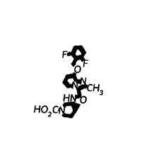 Cc1nc2c(OCc3c(F)cccc3F)cccn2c1C(=O)NC12CC1CCN(C(=O)O)C2